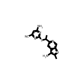 Cc1sc2cnc(C(C)Sc3nc(N)cc(C#N)n3)cc2c1N